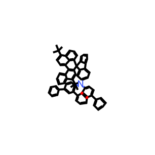 CC(C)(C)c1cc2c(c3ccccc13)-c1ccc(C(C)(C)C)c3cccc(c13)C21c2ccccc2-c2ccc(N(c3ccc(-c4ccccc4)cc3)c3ccc(-c4ccccc4)cc3-c3ccccc3)cc21